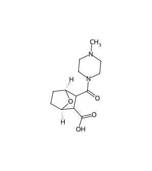 CN1CCN(C(=O)C2C(C(=O)O)[C@H]3CC[C@@H]2O3)CC1